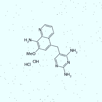 COc1cc(Cc2cnc(N)nc2N)c2cccnc2c1N.Cl.Cl